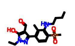 CCCCNc1c(S(C)(=O)=O)ccc(-c2nn(CC)c(O)c2C=O)c1C